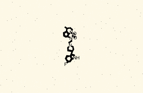 CC1CCN2c3c1cccc3N(CCN1CC=C(c3c[nH]c4cc(F)ccc34)CC1)S2(=O)=O